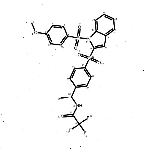 COc1ccc(S(=O)(=O)n2c(S(=O)(=O)c3ccc([C@H](C)NC(=O)C(F)(F)F)cc3)cc3ccccc32)cc1